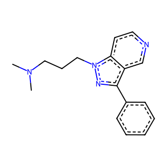 CN(C)CCCn1nc(-c2ccccc2)c2cnccc21